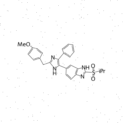 COc1ccc(Cc2nc(-c3ccccc3)c(-c3ccc4nc(S(=O)(=O)C(C)C)[nH]c4c3)[nH]2)cc1